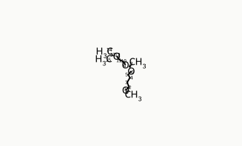 COCCCCOC(C)OCCOC(C)C